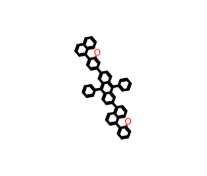 c1ccc(-c2c3ccc(-c4ccc5c6c(cccc46)-c4ccccc4O5)cc3c(-c3ccccc3)c3ccc(-c4ccc5c(c4)Oc4cccc6cccc-5c46)cc23)cc1